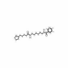 O=C(CCCCC1CCSS1)NCCCCCCNC(=O)c1cccnc1